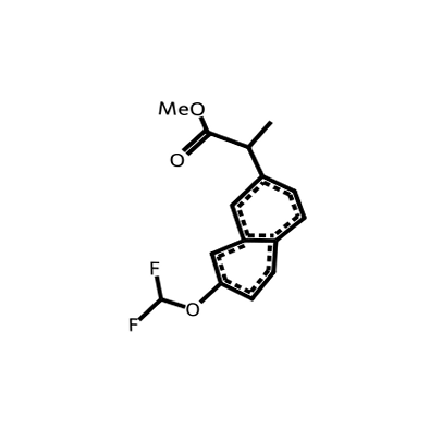 COC(=O)C(C)c1ccc2ccc(OC(F)F)cc2c1